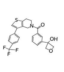 O=C(c1cccc(C2(O)COC2)c1)N1CCc2scc(-c3ccc(C(F)(F)F)cc3)c2C1